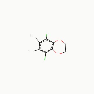 N#Cc1c(Cl)c2c(c(Cl)c1C#N)OCCO2